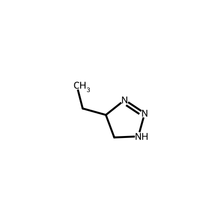 CCC1CNN=N1